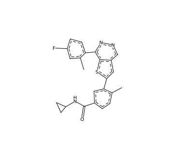 Cc1ccc(C(=O)NC2CC2)cc1-c1cc2cnnc(-c3ccc(F)cc3C)c2s1